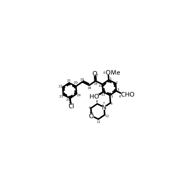 COc1cc(C=O)c(CN2CCOCC2)c(O)c1C(=O)/C=C/c1cccc(Cl)c1